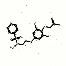 CN(CCSc1cc(F)c(OCC(N)=O)c(F)c1)S(=O)(=O)c1ccccc1